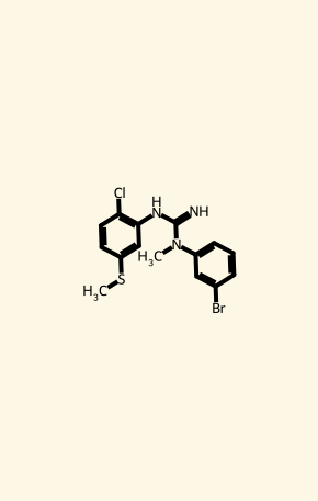 CSc1ccc(Cl)c(NC(=N)N(C)c2cccc(Br)c2)c1